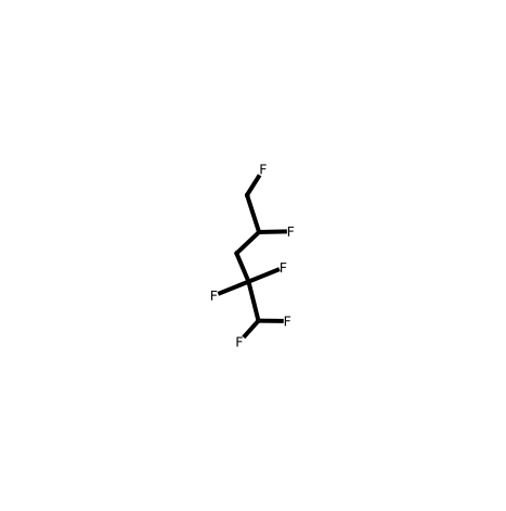 FCC(F)CC(F)(F)C(F)F